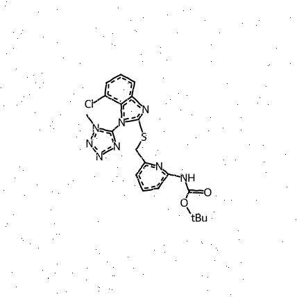 Cn1nnnc1-n1c(SCc2cccc(NC(=O)OC(C)(C)C)n2)nc2cccc(Cl)c21